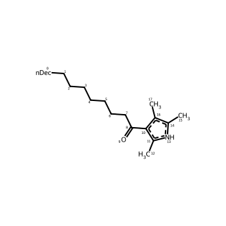 CCCCCCCCCCCCCCCCCC(=O)c1c(C)[nH]c(C)c1C